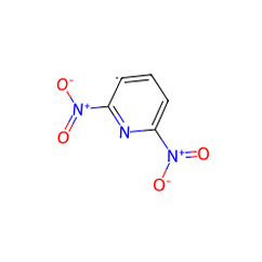 O=[N+]([O-])c1[c]ccc([N+](=O)[O-])n1